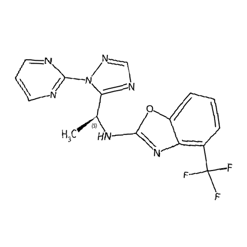 C[C@H](Nc1nc2c(C(F)(F)F)cccc2o1)c1ncnn1-c1ncccn1